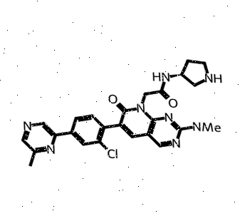 CNc1ncc2cc(-c3ccc(-c4cncc(C)n4)cc3Cl)c(=O)n(CC(=O)N[C@H]3CCNC3)c2n1